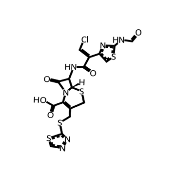 O=CNc1nc(C(=CCl)C(=O)NC2C(=O)N3C(C(=O)O)=C(CSc4nncs4)CS[C@@H]23)cs1